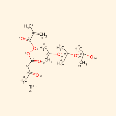 C=C(C)C(=O)OOC(=O)CC(C)=O.CC(C)[O-].CC(C)[O-].CC(C)[O-].[Ti+3]